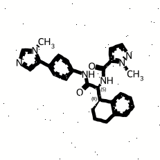 Cn1cncc1-c1ccc(NC(=O)[C@@H](NC(=O)c2ccnn2C)[C@@H]2CCCc3ccccc32)cc1